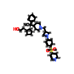 N#CC(c1ccccc1)(C1CCN(CC2CN(c3ccc(S(=O)(=O)c4ccncc4)cc3)C2)CC1)[C@@H]1CCC[C@H]1CCO